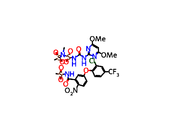 COc1cc(OC)nc(NC(=O)NS(=O)(=O)N(C)S(C)(=O)=O)n1.CS(=O)(=O)NC(=O)c1cc(Oc2ccc(C(F)(F)F)cc2Cl)ccc1[N+](=O)[O-]